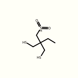 CCC(CS)(CS)C[SH](=O)=O